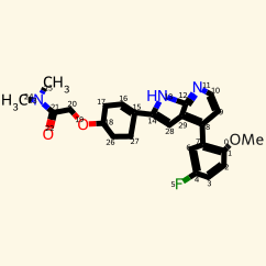 COc1ccc(F)cc1-c1ccnc2[nH]c(C3=CCC(OCC(=O)N(C)C)CC3)cc12